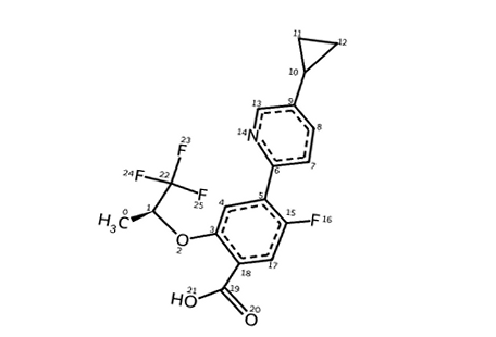 C[C@H](Oc1cc(-c2ccc(C3CC3)cn2)c(F)cc1C(=O)O)C(F)(F)F